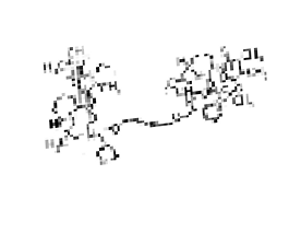 C[C@@H](C(=O)N[C@H]1CCS[C@H]2CC(C)(C)[C@@H](C(=O)N[C@H](COCC#CC#CCOC[C@@H](NC(=O)[C@H]3N4C(=O)[C@@H](NC(=S)[C@H](C)N(C)C(=O)OC(C)(C)C)CCS[C@H]4CC3(C)C)c3ccccc3)c3ccccc3)N2C1=O)N(C)C(=O)OC(C)(C)C